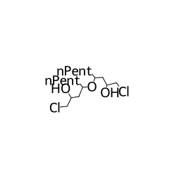 CCCCCC(CC(O)CCl)OC(CCCCC)CC(O)CCl